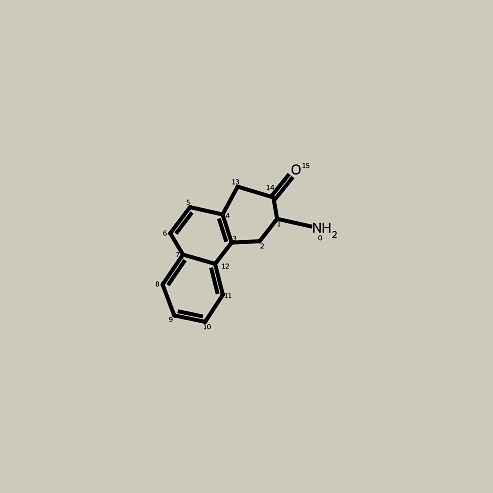 NC1Cc2c(ccc3ccccc23)CC1=O